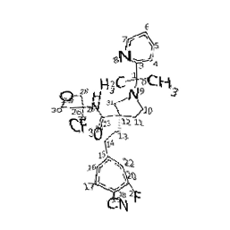 CC(C)(c1ccccn1)N1CC[C@@](CCc2ccc(C#N)c(F)c2)(C(=O)NC2(C(F)(F)F)COC2)C1